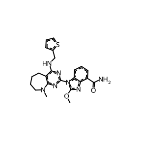 COc1nc2c(C(N)=O)cccc2n1-c1nc(NCc2cccs2)c2c(n1)N(C)CCCC2